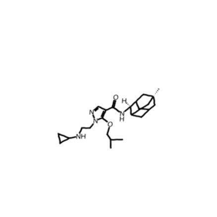 CC(C)COc1c(C(=O)N[C@H]2C3CC4CC2C[C@](C)(C4)C3)cnn1CCNC1CC1